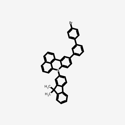 CC1(C)c2ccccc2-c2ccc(N3c4ccc(-c5cccc(-c6ccc(Br)cc6)c5)cc4-c4cccc5cccc3c45)cc21